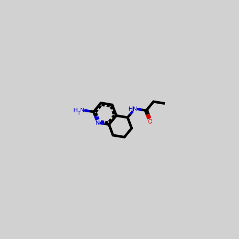 CCC(=O)NC1CCCc2nc(N)ccc21